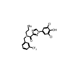 CC(C)(C)CCN(Cc1cccc(C(F)(F)F)c1)C(=O)c1ncn(-c2cc(Cl)c(O)c(Cl)c2)n1